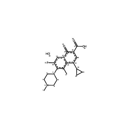 Cc1c(N2CCN(C)CC2)c(F)cn2c(=O)c(C(=O)O)cc(C3CC3)c12.Cl